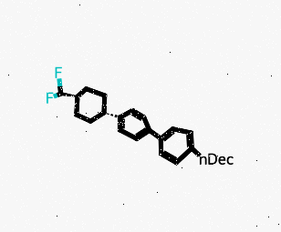 CCCCCCCCCCc1ccc(-c2ccc([C@H]3CC[C@H](C(F)F)CC3)cc2)cc1